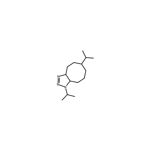 CC(C)C1CCCC2C(CC1)N=NN2C(C)C